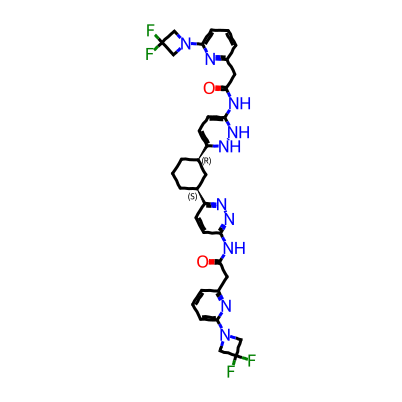 O=C(Cc1cccc(N2CC(F)(F)C2)n1)NC1=CC=C([C@@H]2CCC[C@H](c3ccc(NC(=O)Cc4cccc(N5CC(F)(F)C5)n4)nn3)C2)NN1